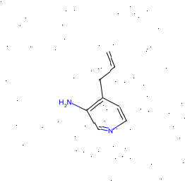 C=CCc1ccncc1N